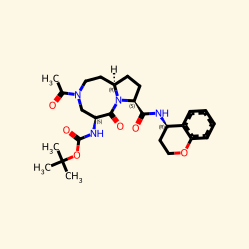 CC(=O)N1CC[C@H]2CC[C@@H](C(=O)N[C@@H]3CCOc4ccccc43)N2C(=O)[C@@H](NC(=O)OC(C)(C)C)C1